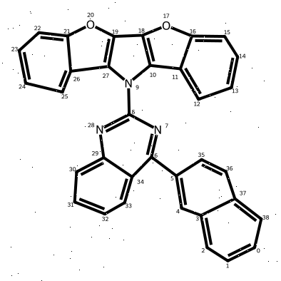 c1ccc2cc(-c3nc(-n4c5c6ccccc6oc5c5oc6ccccc6c54)nc4ccccc34)ccc2c1